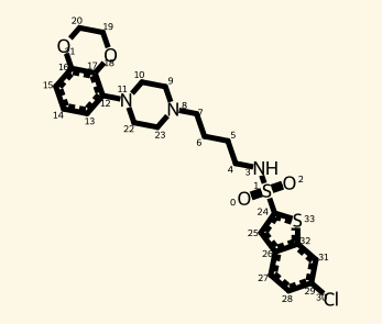 O=S(=O)(NCCCCN1CCN(c2cccc3c2OCCO3)CC1)c1cc2ccc(Cl)cc2s1